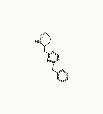 c1ccc(Cc2ncnc(CC3CCCCN3)n2)cc1